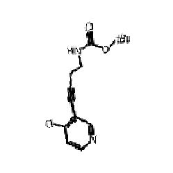 CC(C)(C)OC(=O)NCCC#Cc1cnccc1Cl